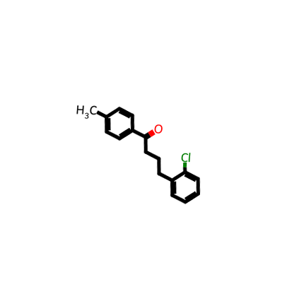 Cc1ccc(C(=O)CCCc2ccccc2Cl)cc1